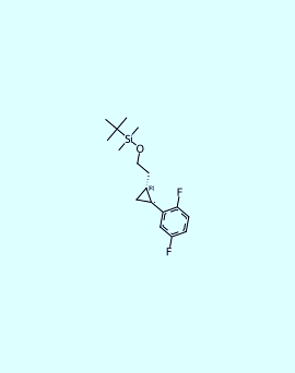 CC(C)(C)[Si](C)(C)OCC[C@H]1C[C]1c1cc(F)ccc1F